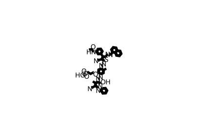 CC(=O)Nc1cccc(-c2c(N=Nc3cccc4ccccc34)sc(N=Nc3cc(OCCCS(=O)(=O)O)c(N=Nc4c(C)c(C#N)c5nc6ccccc6n5c4O)cc3C)c2C#N)c1